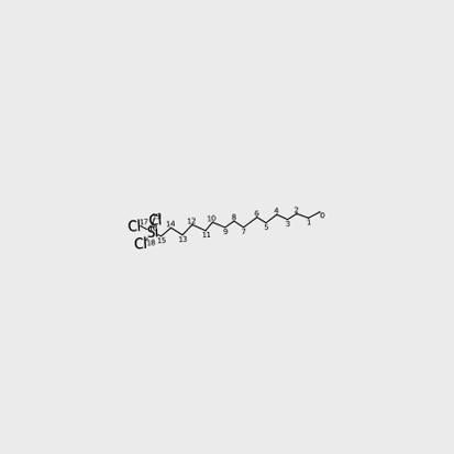 CCCCCCCCCCCCCCCC[Si](Cl)(Cl)Cl